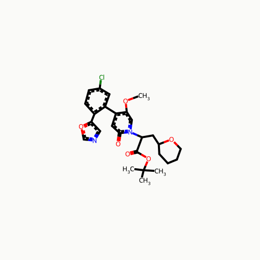 COc1cn(C(CC2CCCCO2)C(=O)OC(C)(C)C)c(=O)cc1-c1cc(Cl)ccc1-c1cnco1